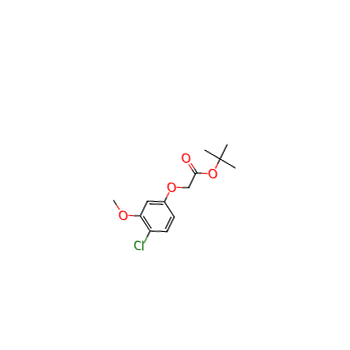 COc1cc(OCC(=O)OC(C)(C)C)ccc1Cl